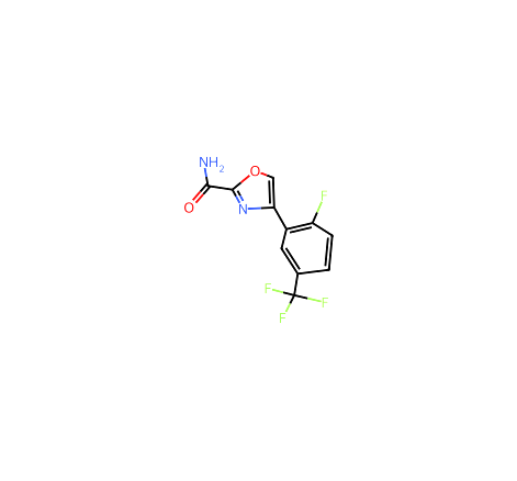 NC(=O)c1nc(-c2cc(C(F)(F)F)ccc2F)co1